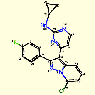 Fc1ccc(-c2nn3c(Cl)cccc3c2-c2ccnc(NC3CC3)n2)cc1